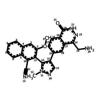 COc1cc2ccccc2c(C#N)c1-c1c(-c2ccc3c(=O)[nH]nc(CN)c3c2)cnn1C